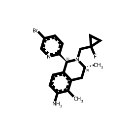 Cc1c(N)ccc2c1C[C@@H](C)N(CC1(F)CC1)[C@@H]2c1ccc(Br)cn1